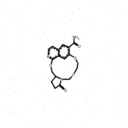 NC(=O)c1cc2ccnc3c2cc1OCCOCN1C(=O)CCC1CO3